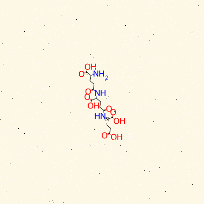 NC(CCC(=O)NC(CCC(=O)N[C@@H](CCC(=O)O)C(=O)O)C(=O)O)C(=O)O